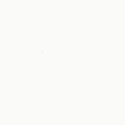 CCC(=O)OCC(O)COC(=O)C1CCCCC1C(=O)OCCC(C)OOC(C)=O